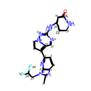 Cc1nc2ccc(-c3ccn4nc(NC5CCNC(=O)C5)ncc34)nc2n1CC(F)F